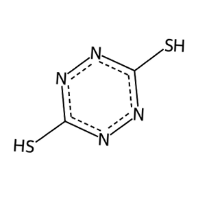 Sc1nnc(S)nn1